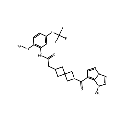 COc1ccc(OC(F)(F)F)cc1NC(=O)CC1CC2(C1)CN(C(=O)c1cnn3ccn(C)c13)C2